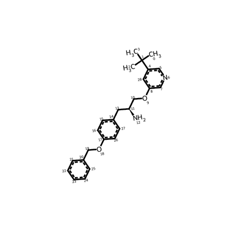 CC(C)(C)c1cncc(OC[C@@H](N)Cc2ccc(OCc3ccccc3)cc2)c1